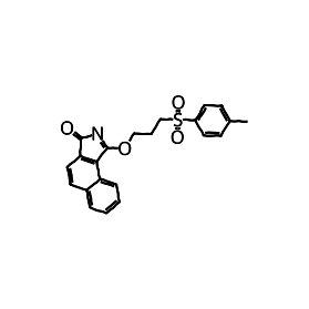 Cc1ccc(S(=O)(=O)CCCOC2=NC(=O)c3ccc4ccccc4c32)cc1